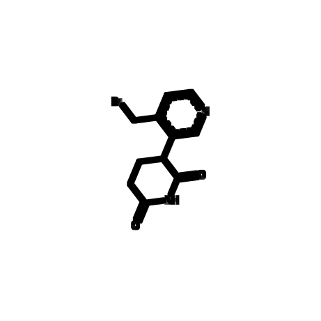 O=C1CCC(c2cnccc2CBr)C(=O)N1